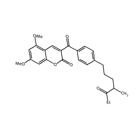 CCC(=O)C(C)CCCc1ccc(C(=O)c2cc3c(OC)cc(OC)cc3oc2=O)cc1